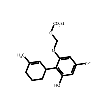 CCCc1cc(O)c(C2C=C(C)CCC2)c(OCOC(=O)OCC)c1